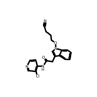 N#CCCCOn1cc(CC(=O)Nc2ccncc2Cl)c2ccccc21